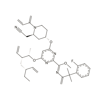 C=CC(=C)N1CC[C@H](Oc2cc(O[C@@H](C)[C@@H](C=C)C[C@H](C=C)CC)nc(/C(=N/C(=C)C(C)(C)c3ccccc3F)OC)n2)C[C@H]1CC#N